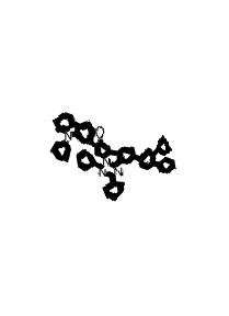 c1ccc(-c2nc(-c3ccccc3)nc(-c3cc(-c4ccc(-c5ccccc5)c(-c5ccccc5)c4)ccc3-c3ccc4c(c3)oc3cc5c6ccccc6n(-c6ccccc6)c5cc34)n2)cc1